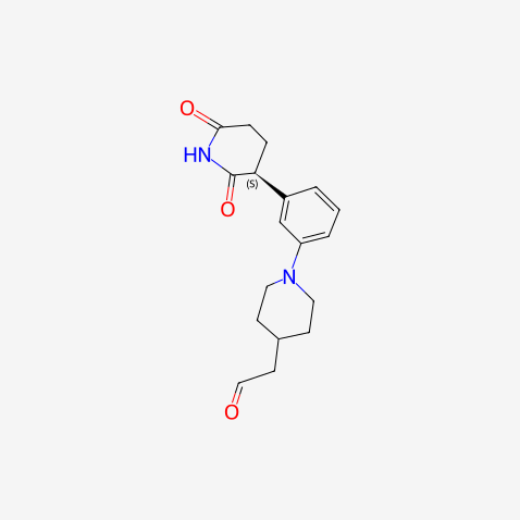 O=CCC1CCN(c2cccc([C@@H]3CCC(=O)NC3=O)c2)CC1